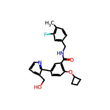 Cc1ccc(CNC(=O)c2cc(-c3ncccc3CO)ccc2OC2CCC2)cc1F